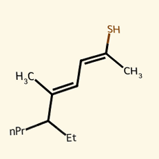 CCCC(CC)/C(C)=C/C=C(\C)S